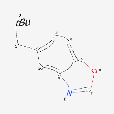 CC(C)(C)Cc1ccc2ocnc2c1